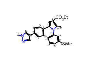 CCOC(=O)c1cc(-c2ccc(-c3cnn(C)c3)cc2)n(-c2cccc(SC)c2)c1C